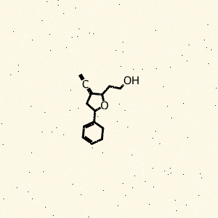 C=C=C1CC(C2=CC=CCC2)OC1CCO